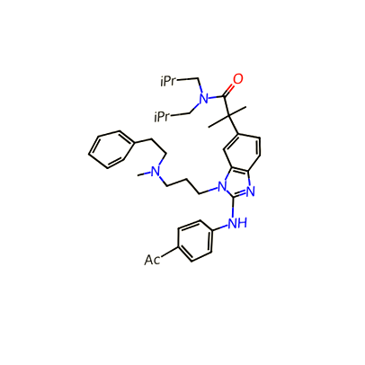 CC(=O)c1ccc(Nc2nc3ccc(C(C)(C)C(=O)N(CC(C)C)CC(C)C)cc3n2CCCN(C)CCc2ccccc2)cc1